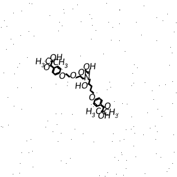 CC(C)(O)C(=O)c1ccc(OCCCC(O)CN(CCO)CC(O)COCCOc2ccc(C(=O)C(C)(C)O)cc2)cc1